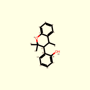 CC1c2ccccc2OC(C)(C)C1c1ccccc1O